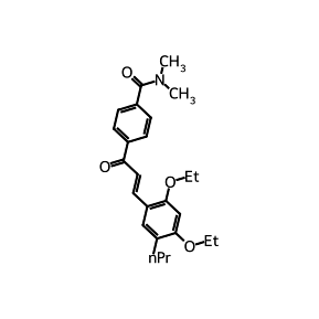 CCCc1cc(/C=C/C(=O)c2ccc(C(=O)N(C)C)cc2)c(OCC)cc1OCC